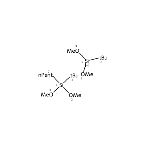 CCCCC[Si](OC)(OC)C(C)(C)C.CO[SiH](OC)C(C)(C)C